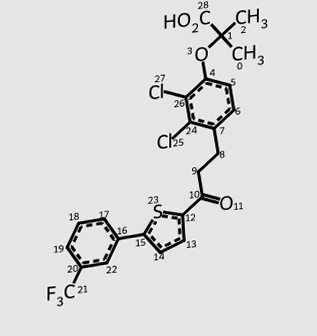 CC(C)(Oc1ccc(CCC(=O)c2ccc(-c3cccc(C(F)(F)F)c3)s2)c(Cl)c1Cl)C(=O)O